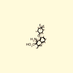 Cc1nc2cccc(OC3CCC(F)(F)CC3)c2c(N)c1C(=O)O